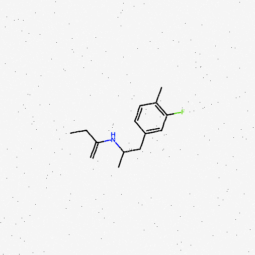 C=C(CC)NC(C)Cc1ccc(C)c(F)c1